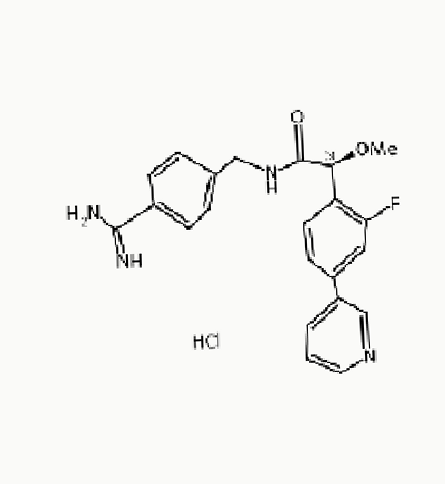 CO[C@H](C(=O)NCc1ccc(C(=N)N)cc1)c1ccc(-c2cccnc2)cc1F.Cl